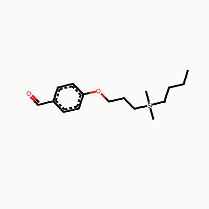 CCCC[Si](C)(C)CCCOc1ccc(C=O)cc1